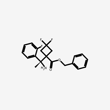 C[C@@](N)(c1ccccc1F)C1(C(=O)OCc2ccccc2)CC(F)(F)C1